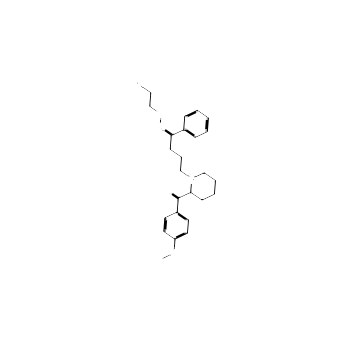 COc1ccc(C(=O)C2CCCCN2CCC/C(=N/OCCN)c2ccccc2)cc1